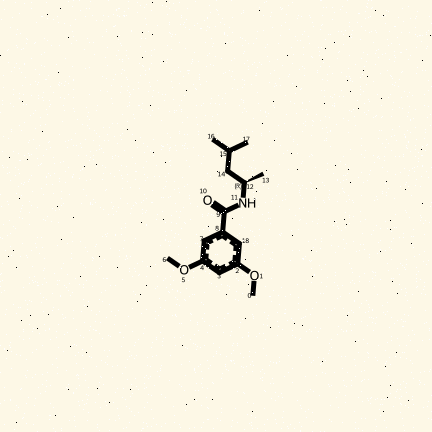 COc1cc(OC)cc(C(=O)N[C@H](C)CC(C)C)c1